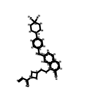 C=CC(=O)N1CC(CCn2c(=O)ccc3cnc(Nc4ccc(N5CCC(F)(F)CC5)cc4)nc32)C1